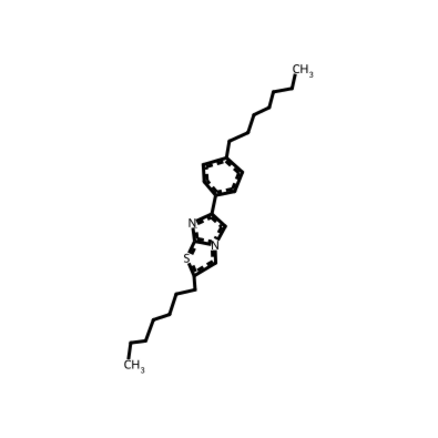 CCCCCCCc1ccc(-c2cn3cc(CCCCCCC)sc3n2)cc1